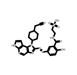 N#CCC1CCC(n2c(/N=N/c3ccc(O)c(C(=O)NCCS(=O)(=O)O)c3)nc3cnc4[nH]ccc4c32)CC1